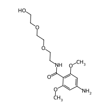 COc1cc(N)cc(OC)c1C(=O)NCCOCCOCCO